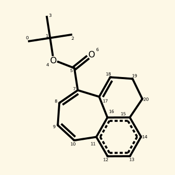 CC(C)(C)OC(=O)C1=CC=Cc2cccc3c2C1=CCC3